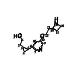 OCCC1CC1c1cncc(OCC[C@@H]2CCN2)c1